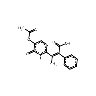 CC(=O)Oc1cnc(C(C)=C(C(=O)O)c2ccccc2)[nH]c1=O